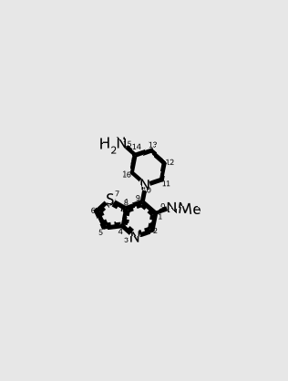 CNc1cnc2ccsc2c1N1CCCC(N)C1